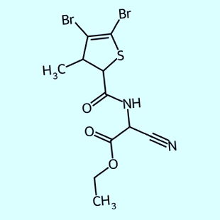 CCOC(=O)C(C#N)NC(=O)C1SC(Br)=C(Br)C1C